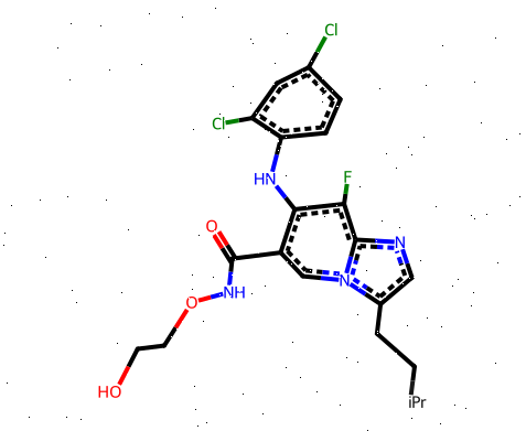 CC(C)CCc1cnc2c(F)c(Nc3ccc(Cl)cc3Cl)c(C(=O)NOCCO)cn12